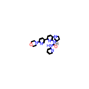 O=C(Nc1ccccn1)N1c2nc(-c3ccc(N4CCOCC4)nc3)ccc2N2CC[C@H]1C2